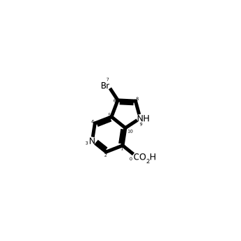 O=C(O)c1cncc2c(Br)c[nH]c12